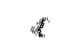 C=C(/C=C\C(CC)N(C)c1ccc2c(c1)NC(C(=O)OC)=CC2)c1cc[nH]n1